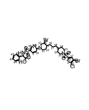 O=C(O)C(NS(=O)(=O)c1ccc(N2CCC(CCCC3CCN(S(=O)(=O)c4cc(Br)c(Cl)s4)CC3)C(Br)C2)nc1)c1ccccc1